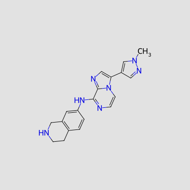 Cn1cc(-c2cnc3c(Nc4ccc5c(c4)CNCC5)nccn23)cn1